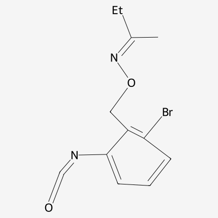 CCC(C)=NOCc1c(Br)cccc1N=C=O